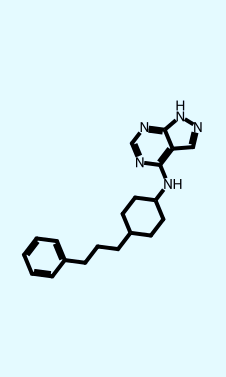 c1ccc(CCCC2CCC(Nc3ncnc4[nH]ncc34)CC2)cc1